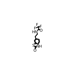 O=C(NCCc1ccc2[nH]c(=O)sc2c1)C(F)(F)F